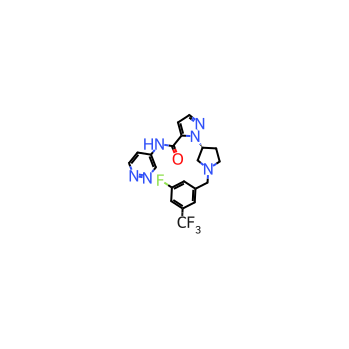 O=C(Nc1ccnnc1)c1ccnn1[C@@H]1CCN(Cc2cc(F)cc(C(F)(F)F)c2)C1